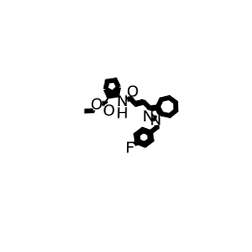 CCOC(=O)[C@H]1C2CCC(C2)[C@H]1NC(=O)C=Cc1nn(Cc2ccc(F)cc2)c2c1CCCCC2